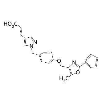 Cc1oc(-c2ccccc2)nc1COc1ccc(Cn2cc(/C=C/C(=O)O)cn2)cc1